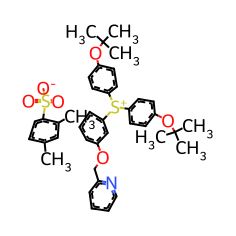 CC(C)(C)Oc1ccc([S+](c2ccc(OC(C)(C)C)cc2)c2cccc(OCc3ccccn3)c2)cc1.Cc1ccc(S(=O)(=O)[O-])c(C)c1